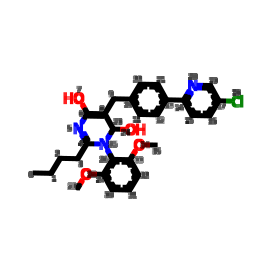 CCCCC1=NC(O)=C(Cc2ccc(-c3ccc(Cl)cn3)cc2)C(O)N1c1c(OC)cccc1OC